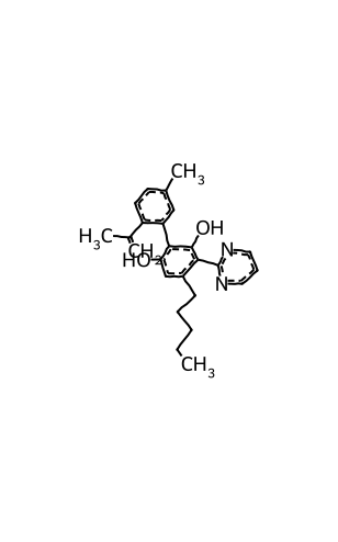 C=C(C)c1ccc(C)cc1-c1c(O)cc(CCCCC)c(-c2ncccn2)c1O